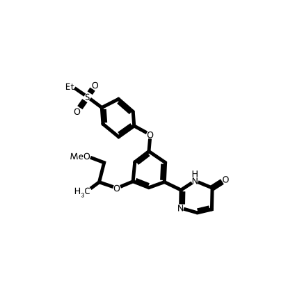 CCS(=O)(=O)c1ccc(Oc2cc(OC(C)COC)cc(-c3nccc(=O)[nH]3)c2)cc1